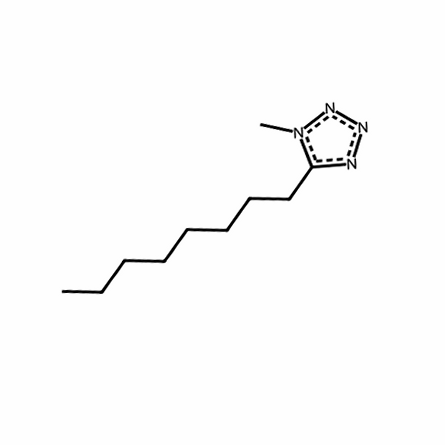 CCCCCCCCc1nnnn1C